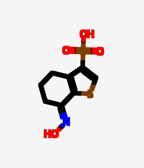 O=S(=O)(O)c1csc2c1CCC/C2=N\O